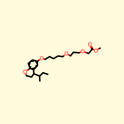 CCC(C)C1CCOc2ccc(OCCCCCOCCCOCC(=O)OC)cc21